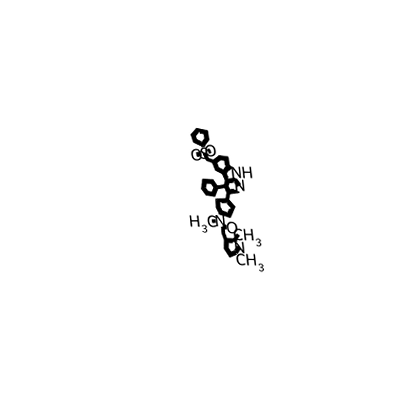 Cc1ccc(CC(=O)N(C)c2ccc(-c3cnc4[nH]c5ccc(CS(=O)(=O)c6ccccc6)cc5c4c3-c3ccccc3)cc2)c(C)n1